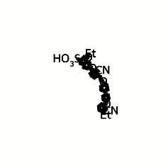 CCOc1cc(S(=O)(=O)O)cc2ccc(Oc3cccc(CCOc4ccc(-c5ccc(Oc6cccc(CC)c6C#N)cc5)cc4)c3C#N)cc12